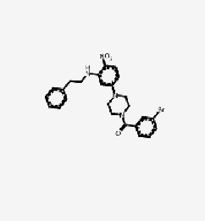 O=C(c1cccc(Br)c1)N1CCN(c2ccc([N+](=O)[O-])c(NCCc3ccccc3)c2)CC1